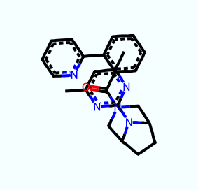 Cc1cc(C)nc(N2C3CCC2CN(C(=O)c2ccccc2-c2ccccn2)C3)n1